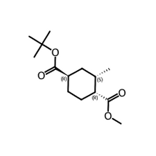 COC(=O)[C@@H]1CC[C@@H](C(=O)OC(C)(C)C)C[C@@H]1C